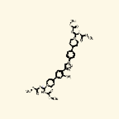 Cc1cc(C2=CCN(/C(=N/C(=O)OC(C)(C)C)NC(=O)OC(C)(C)C)CC2)ccc1-c1cn(-c2ccc(C3=CCN(C(=NC(=O)OC(C)(C)C)NC(=O)OC(C)(C)C)CC3)cc2)nn1